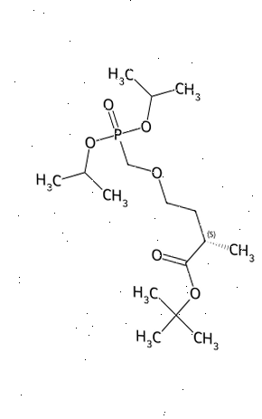 CC(C)OP(=O)(COCC[C@H](C)C(=O)OC(C)(C)C)OC(C)C